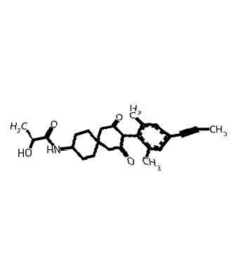 CC#Cc1cc(C)c(C2C(=O)CC3(CCC(NC(=O)[C@H](C)O)CC3)CC2=O)c(C)c1